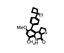 CCC1(c2ccc(-c3c(OC)cc(C)c4[nH]c(=O)c5c(c34)CCS5)cc2)CCC1